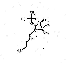 CC(C)(C)O[Si](C)(CCCNCCN)C(C)(C)C